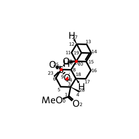 COC(=O)[C@]1(C)CCC[C@@]2(C)[C@@H]3C[C@@H]4CC(=C3CC[C@@H]21)C4COS(C)(=O)=O